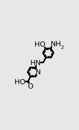 Nc1ccc(CNc2ccc(C(=O)O)cn2)cc1O